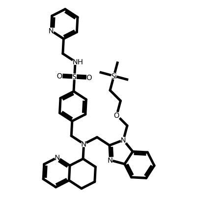 C[Si](C)(C)CCOCn1c(CN(Cc2ccc(S(=O)(=O)NCc3ccccn3)cc2)C2CCCc3cccnc32)nc2ccccc21